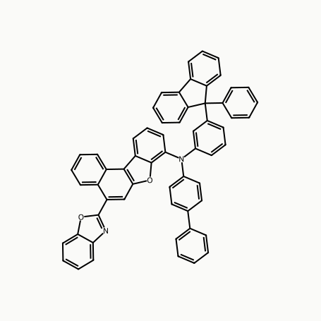 c1ccc(-c2ccc(N(c3cccc(C4(c5ccccc5)c5ccccc5-c5ccccc54)c3)c3cccc4c3oc3cc(-c5nc6ccccc6o5)c5ccccc5c34)cc2)cc1